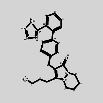 CCCCc1c(Cc2ccc(-c3ccccc3-c3nnn[nH]3)cc2)c(=O)n2n1CCC[CH]2